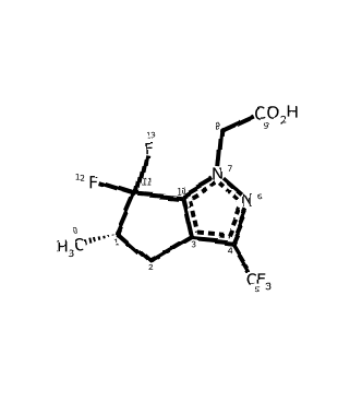 C[C@H]1Cc2c(C(F)(F)F)nn(CC(=O)O)c2C1(F)F